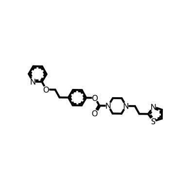 O=C(Oc1ccc(CCOc2ccccn2)cc1)N1CCN(CCc2nccs2)CC1